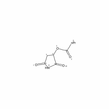 CCCC(=O)OC1CC(=O)NC1=O